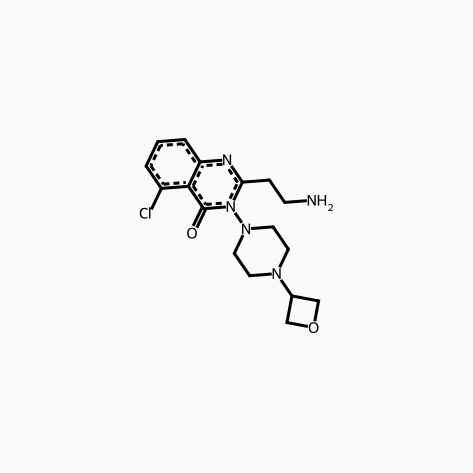 NCCc1nc2cccc(Cl)c2c(=O)n1N1CCN(C2COC2)CC1